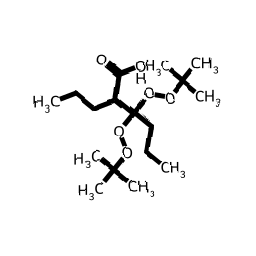 CCCC(C(=O)O)C(CCC)(OOC(C)(C)C)OOC(C)(C)C